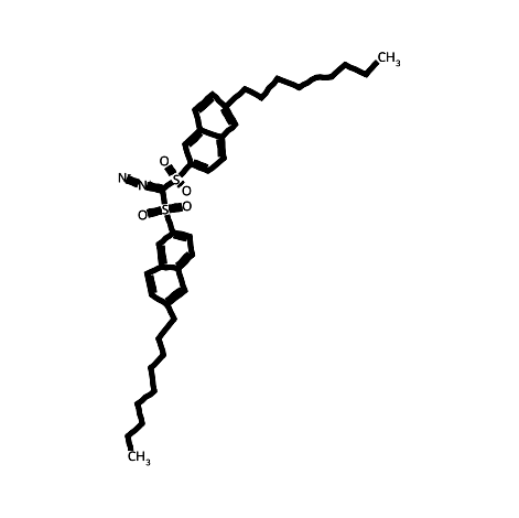 CCCCCCCCCc1ccc2cc(S(=O)(=O)C(=[N+]=[N-])S(=O)(=O)c3ccc4cc(CCCCCCCCC)ccc4c3)ccc2c1